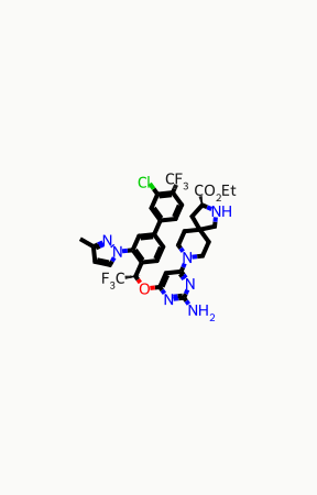 CCOC(=O)[C@@H]1CC2(CCN(c3cc(O[C@H](c4ccc(-c5ccc(C(F)(F)F)c(Cl)c5)cc4-n4ccc(C)n4)C(F)(F)F)nc(N)n3)CC2)CN1